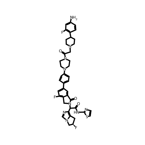 Nc1ccc(C2CCN(CC(=O)N3CCN(c4ccc(-c5cc(F)c6c(c5)C(=O)N(C(C(=O)Nc5nccs5)c5ncn7c5C[C@@H](F)C7)C6)cc4)CC3)CC2)c(F)c1